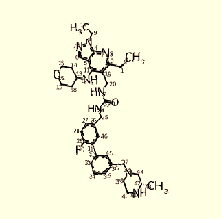 CCc1nc2c(cnn2CC)c(NC2CCOCC2)c1CNC(=O)NCc1ccc(F)c(-c2cccc(CN3CCN[C@@H](C)C3)c2)c1